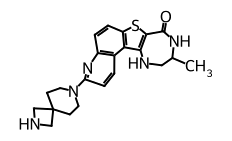 CC1CNc2c(sc3ccc4nc(N5CCC6(CC5)CNC6)ccc4c23)C(=O)N1